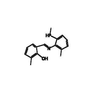 CPc1cccc(C)c1/N=C/c1cccc(C)c1O